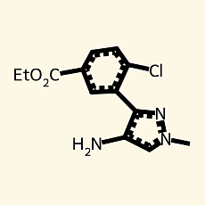 CCOC(=O)c1ccc(Cl)c(-c2nn(C)cc2N)c1